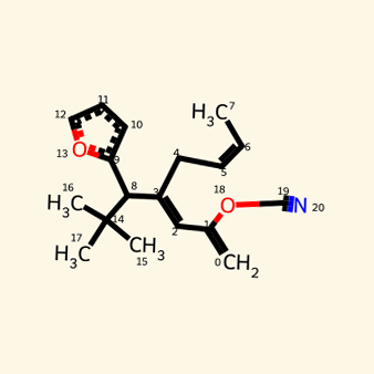 C=C(/C=C(\C/C=C\C)C(c1ccco1)C(C)(C)C)OC#N